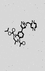 CC(=O)N1c2ccc(-c3cnn(Cc4cnccn4)c3)cc2N(C(=O)OC(C)C)CC1C